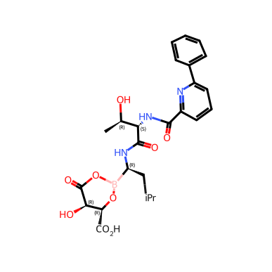 CC(C)C[C@H](NC(=O)[C@@H](NC(=O)c1cccc(-c2ccccc2)n1)[C@@H](C)O)B1OC(=O)[C@H](O)[C@H](C(=O)O)O1